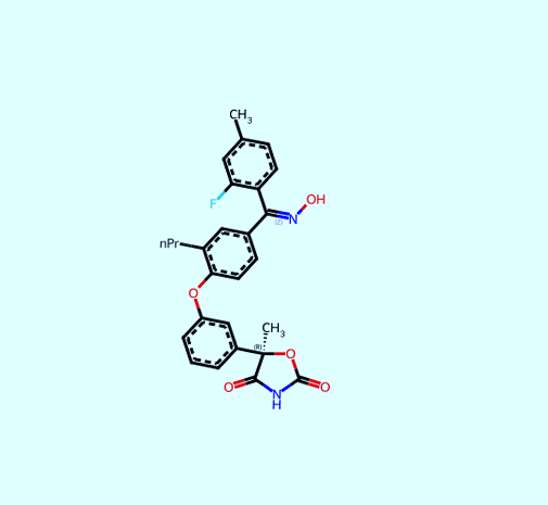 CCCc1cc(/C(=N/O)c2ccc(C)cc2F)ccc1Oc1cccc([C@@]2(C)OC(=O)NC2=O)c1